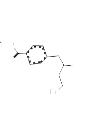 COC(=O)c1ccc(CC(CCBr)C(=O)O)cc1